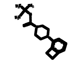 CC(C)(C)OC(=O)N1CCN(c2cccc3c2CC3)CC1